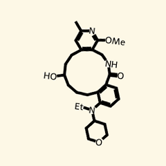 CCN(c1cccc2c1CCCC(O)CCc1cc(C)nc(OC)c1CNC2=O)C1CCOCC1